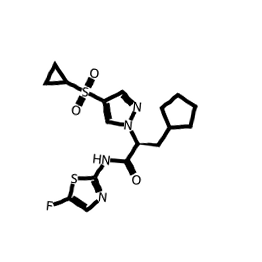 O=C(Nc1ncc(F)s1)[C@H](CC1CCCC1)n1cc(S(=O)(=O)C2CC2)cn1